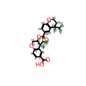 O=C(O)c1ccc2c(c1)[C@](F)(C(F)F)C(OC(=O)c1ccc3c(c1)[C@@](F)(C(F)F)CCO3)CO2